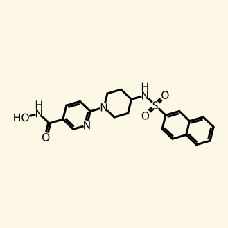 O=C(NO)c1ccc(N2CCC(NS(=O)(=O)c3ccc4ccccc4c3)CC2)nc1